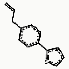 C=CCc1ccc(-c2cccs2)cc1